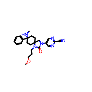 CNC1(c2ccccc2)CCC2(CC1)CN(c1cnc(C#N)nc1)C(=O)N2CCCOC